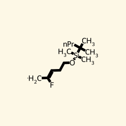 [CH2]/C(F)=C/CCO[Si](C)(C)C(C)(C)CCC